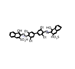 CCc1cc(-c2cc(CC)c(/N=N/c3c(S(=O)(=O)O)cc4ccccc4c3O)c(CC)c2)cc(CC)c1/N=N/c1c(S(=O)(=O)O)cc2ccccc2c1O